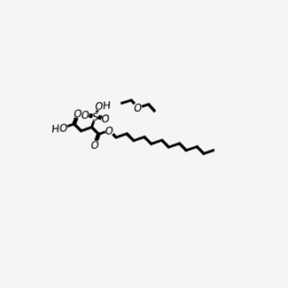 CCCCCCCCCCCCOC(=O)C(CC(=O)O)S(=O)(=O)O.CCOCC